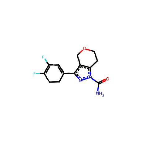 NC(=O)n1nc(C2=CC(F)=C(F)CC2)c2c1CCOC2